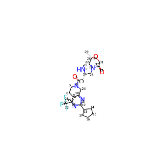 CN[C@@H](CC(=O)N1CCc2c(nc(C3CCCC3)nc2C(F)(F)F)C1)CN1C[C@H](C)OCC1=O